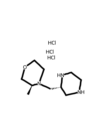 C[C@H]1COCCN1C[C@H]1CNCCN1.Cl.Cl.Cl